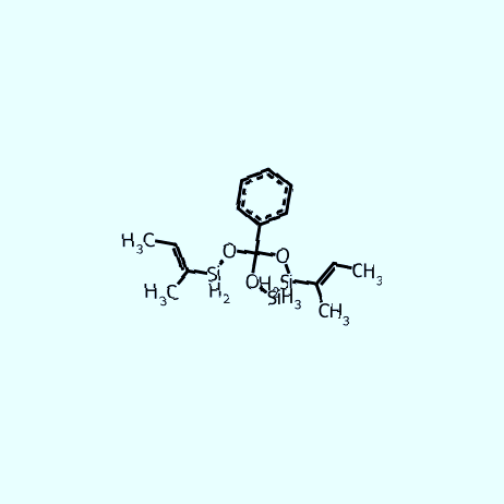 CC=C(C)[SiH2]OC(O[SiH3])(O[SiH2]C(C)=CC)c1ccccc1